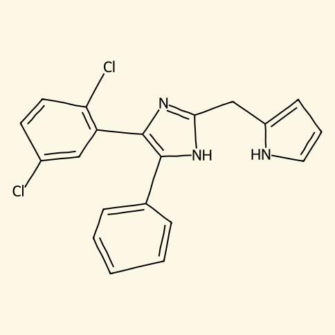 Clc1ccc(Cl)c(-c2nc(Cc3ccc[nH]3)[nH]c2-c2ccccc2)c1